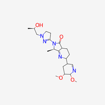 COC1CC(C2CCC3C(=O)N(C4=NN(C[C@@H](C)O)CC4)[C@H](C)C3=N2)C=NC1OC